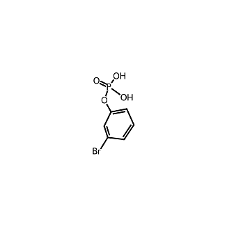 O=P(O)(O)Oc1cccc(Br)c1